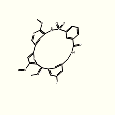 C=Nc1cc2sc1/C(=N\C)c1cc(F)cc(c1)CNC(=O)c1cccc(c1)S(=O)(=O)Nc1cc-2cnc1OC